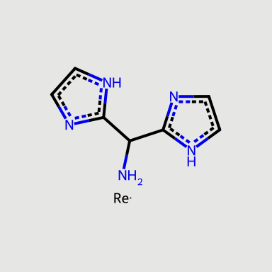 NC(c1ncc[nH]1)c1ncc[nH]1.[Re]